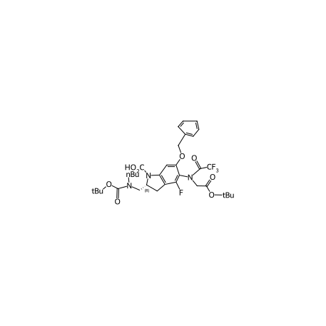 CCCCN(C[C@H]1Cc2c(cc(OCc3ccccc3)c(N(CC(=O)OC(C)(C)C)C(=O)C(F)(F)F)c2F)N1C(=O)O)C(=O)OC(C)(C)C